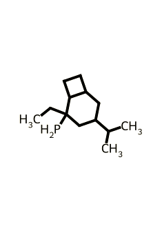 CCC1(P)CC(C(C)C)CC2CCC21